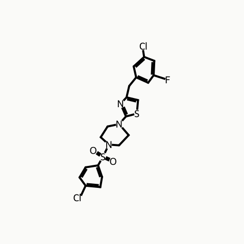 O=S(=O)(c1ccc(Cl)cc1)N1CCN(c2nc(Cc3cc(F)cc(Cl)c3)cs2)CC1